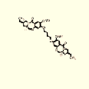 CC=C1C[C@H]2C=Nc3cc(OCCCCOc4cc5c(cc4OC)C(=O)N4CC(=CC)C[C@H]4C=N5)c(OC)cc3C(=O)N2C1